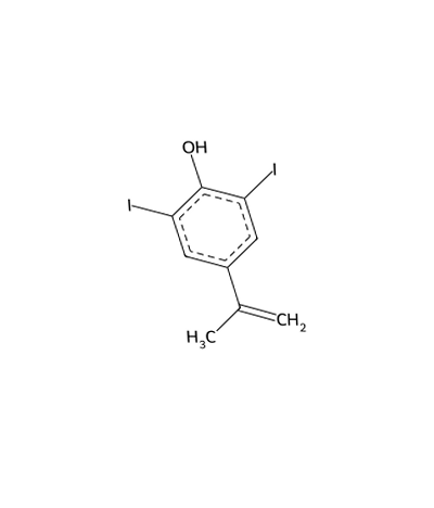 C=C(C)c1cc(I)c(O)c(I)c1